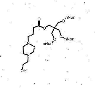 CCCCCCCCCOCC(COCCCCCCCCC)(COCCCCCCCCC)COC(=O)CCCN1CCN(CCO)CC1